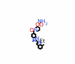 CCn1c(-c2nc3cc(C(=O)N4CCCC(OC(N)=O)C4)ccc3n2C)cc2cccc(C)c21